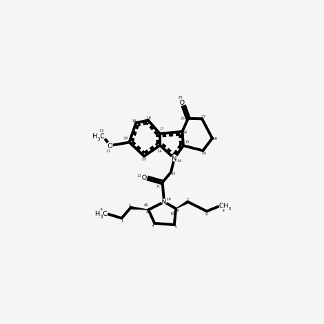 CCC[C@@H]1CC[C@H](CCC)N1C(=O)Cn1c2c(c3ccc(OC)cc31)C(=O)CCC2